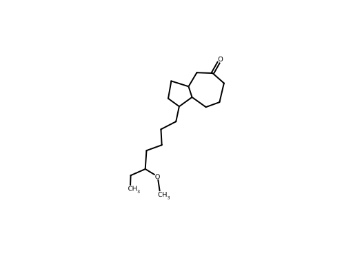 CCC(CCCCC1CCC2CC(=O)CCCC12)OC